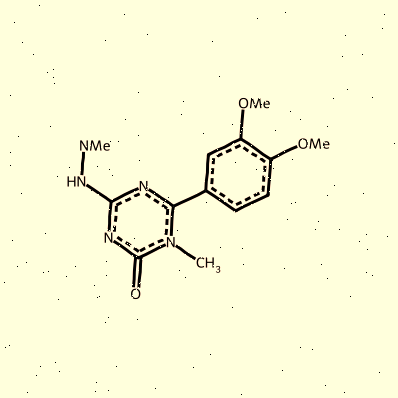 CNNc1nc(-c2ccc(OC)c(OC)c2)n(C)c(=O)n1